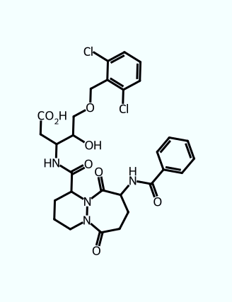 O=C(O)CC(NC(=O)C1CCCN2C(=O)CCC(NC(=O)c3ccccc3)C(=O)N12)C(O)COCc1c(Cl)cccc1Cl